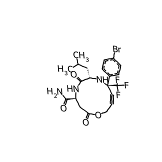 CC(C)C[C@@H]1N[C@@](c2ccc(Br)cc2)(C(F)(F)F)C#CCOC(=O)C[C@@H](C(N)=O)NC1=O